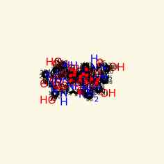 NCCCC[C@H](NC(=O)[C@@H]1C[C@@H](O)CN1C(=O)CNC(=O)[C@@H]1CCCN1C(=O)[C@@H]1C[C@@H](O)CN1C(=O)CNC(=O)[C@@H]1CCCN1C(=O)[C@@H]1C[C@@H](O)CN1)C(=O)NCC(=O)N1C[C@H](O)C[C@H]1C(=O)N1CCC[C@H]1C(=O)NCC(=O)N1C[C@H](O)C[C@H]1C(=O)N1CCC[C@H]1C(=O)NCC(=O)N1C[C@H](O)C[C@H]1C(=O)N1CCC[C@H]1C(=O)NCC(=O)N1C[C@H](O)C[C@H]1C(=O)N1CCC[C@H]1C(=O)NCC(=O)O